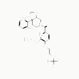 COc1nc(C(=O)N2CCC3(c4ncccc4F)OCOC3C2)ccc1OCCOC(F)(F)F